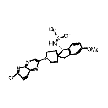 COc1ccc2c(c1)CC1(CCN(c3cnc4nc(Cl)ccc4n3)CC1)[C@@H]2N[S+]([O-])C(C)(C)C